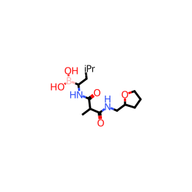 CC(C)CC(NC(=O)C(C)C(=O)NCC1CCCO1)B(O)O